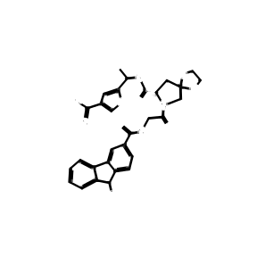 CC(NC(=O)[C@@H]1CC2(CN1C(=O)CNC(=O)c1ccc3c(c1)-c1ccccc1C3F)OCCO2)c1cc(C(=N)N)cs1